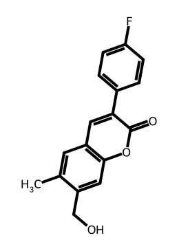 Cc1cc2cc(-c3ccc(F)cc3)c(=O)oc2cc1CO